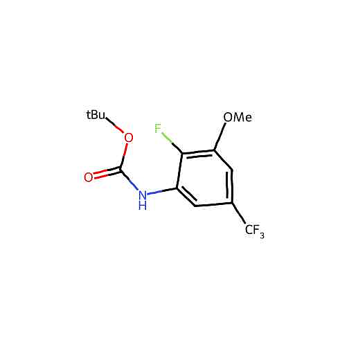 COc1cc(C(F)(F)F)cc(NC(=O)OC(C)(C)C)c1F